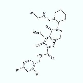 COc1c2n(cc(C(=O)NCc3ccc(F)cc3F)c1=O)CCN(C1CCCCC1CNCC(C)C)C2=O